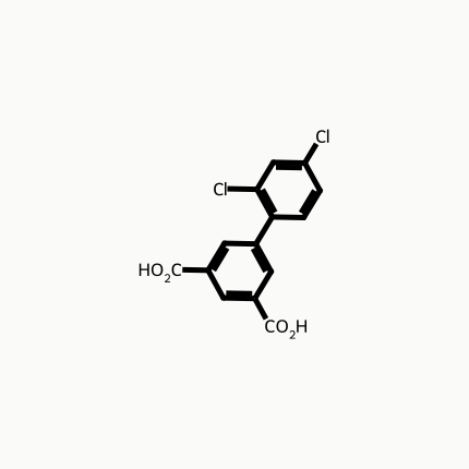 O=C(O)c1cc(C(=O)O)cc(-c2ccc(Cl)cc2Cl)c1